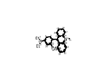 CCN(CC)c1ccc(-c2c3ccccc3[n+](C)c3ccccc23)c(OC)c1